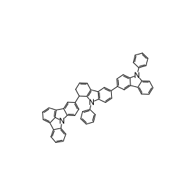 C1=Cc2c(n(-c3ccccc3)c3ccc(-c4ccc5c(c4)c4ccccc4n5-c4ccccc4)cc23)C(c2ccc3c(c2)c2cccc4c5ccccc5n3c42)C1